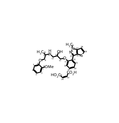 COc1ccccc1OCC(C)NCC(O)COc1ccccc1-c1nn(C)c2ccsc12.O=C(O)/C=C\C(=O)O